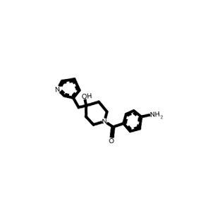 Nc1ccc(C(=O)N2CCC(O)(Cc3cccnc3)CC2)cc1